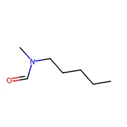 CCCCCN(C)C=O